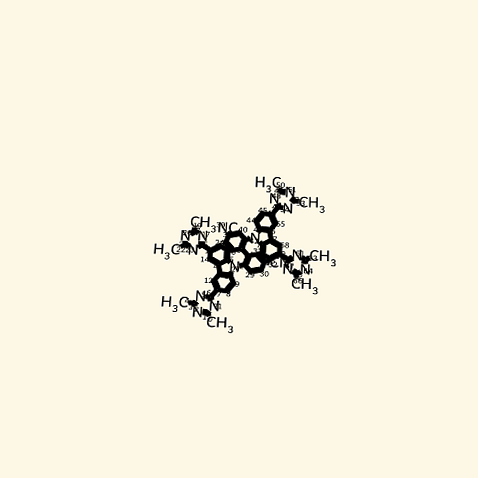 Cc1nc(C)nc(-c2ccc3c(c2)c2cc(-c4nc(C)nc(C)n4)ccc2n3-c2ccc(C#N)cc2-c2ccc(C#N)cc2-n2c3ccc(-c4nc(C)nc(C)n4)cc3c3cc(-c4nc(C)nc(C)n4)ccc32)n1